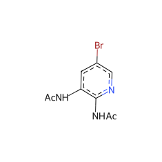 CC(=O)Nc1cc(Br)cnc1NC(C)=O